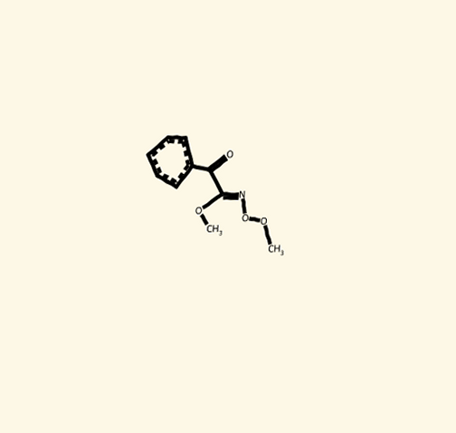 COON=C(OC)C(=O)c1ccccc1